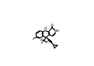 O=c1[nH]ccc2c1Nc1ccc(F)cc1C2(C#CC1CC1)C(F)(F)F